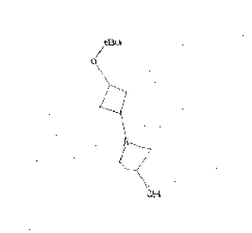 CC(C)(C)OC1CC(N2CC(O)C2)C1